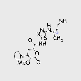 COc1c(N2CCCC2)cc(C(=O)Nc2nnc(N/C(C)=C\C=N)s2)oc1=O